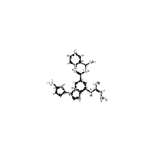 CCCC(NC(=O)c1cc(N/C(=N\N)C(C)C)c2ncc(-c3ccc(C)s3)n2c1)c1cnccn1